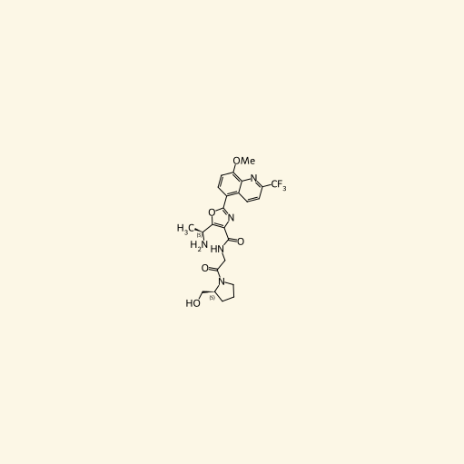 COc1ccc(-c2nc(C(=O)NCC(=O)N3CCC[C@H]3CO)c([C@H](C)N)o2)c2ccc(C(F)(F)F)nc12